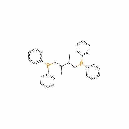 CC(CP(c1ccccc1)c1ccccc1)C(C)CP(c1ccccc1)c1ccccc1